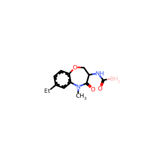 BC(=O)NC1COc2ccc(CC)cc2N(C)C1=O